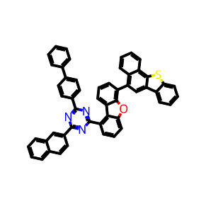 c1ccc(-c2ccc(-c3nc(-c4ccc5ccccc5c4)nc(-c4cccc5oc6c(-c7cc8c9ccccc9sc8c8ccccc78)cccc6c45)n3)cc2)cc1